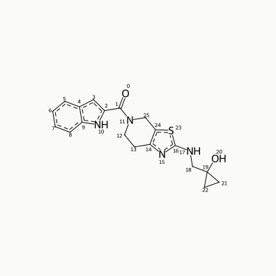 O=C(c1cc2ccccc2[nH]1)N1CCc2nc(NCC3(O)CC3)sc2C1